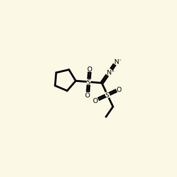 CCS(=O)(=O)C(=[N+]=[N-])S(=O)(=O)C1CCCC1